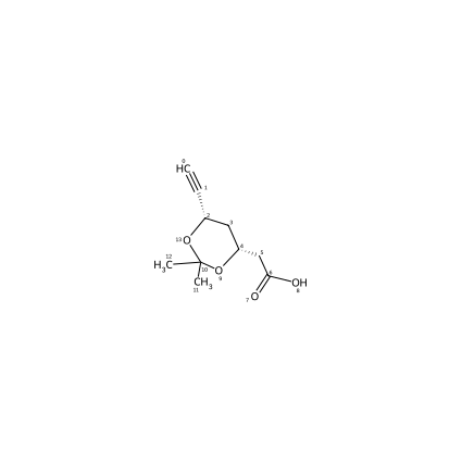 C#C[C@@H]1C[C@H](CC(=O)O)OC(C)(C)O1